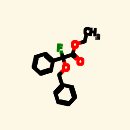 CCOC(=O)C(F)(OCc1ccccc1)c1ccccc1